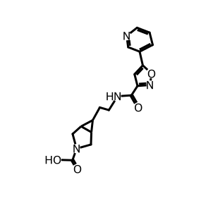 O=C(NCCC1C2CN(C(=O)O)CC12)c1cc(-c2cccnc2)on1